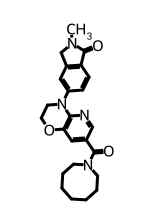 CN1Cc2cc(N3CCOc4cc(C(=O)N5CCCCCCC5)cnc43)ccc2C1=O